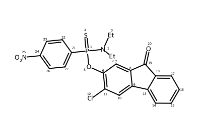 CCN(CC)P(=S)(Oc1cc2c(cc1Cl)-c1ccccc1C2=O)c1ccc([N+](=O)[O-])cc1